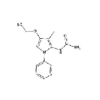 Cc1c(OCC#N)nn(-c2ccccc2)c1NC(N)=O